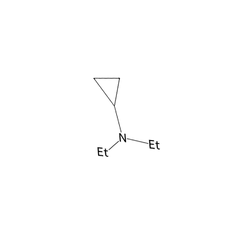 [CH2]CN(CC)C1CC1